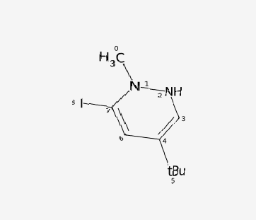 CN1NC=C(C(C)(C)C)C=C1I